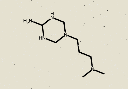 CN(C)CCCN1CNC(N)NC1